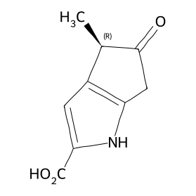 C[C@H]1C(=O)Cc2[nH]c(C(=O)O)cc21